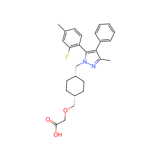 Cc1ccc(-c2c(-c3ccccc3)c(C)nn2C[C@H]2CC[C@@H](COCC(=O)O)CC2)c(F)c1